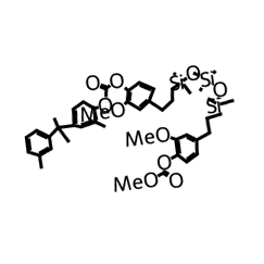 COC(=O)Oc1ccc(CCC[Si](C)(C)O[Si](C)(C)O[Si](C)(C)CCCc2ccc(OC(=O)OC3CC=C(C(C)(C)c4cccc(C)c4)C=C3C)c(OC)c2)cc1OC